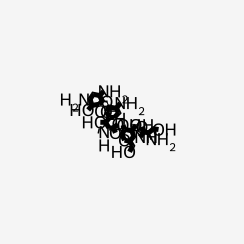 CNC1C(O[C@H]2OC(CO)[C@@H](NC(=O)[C@H](N)CO)C(O)C2O)O[C@H]2CC(N)[C@@H](O[C@@H]3C(N)C[C@@H](N)C(O)C3O)OC2C1O